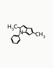 CC1=CC2=CC(C)N(c3ccccc3)C2=C1